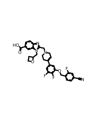 N#Cc1ccc(COc2cc(C3=CCN(Cc4nc5ccc(C(=O)O)cc5n4CC4CCO4)CC3)cc(F)c2F)c(F)c1